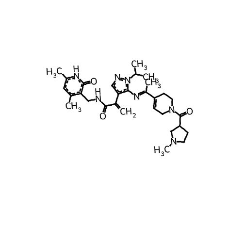 C=C(C(=O)NCc1c(C)cc(C)[nH]c1=O)c1cnn(C(C)C)c1/N=C(\C)C1=CCN(C(=O)C2CCN(C)C2)CC1